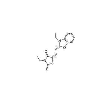 CCN1C(=O)/C(=C\C=C2/Oc3ccccc3N2CC)SC1=S